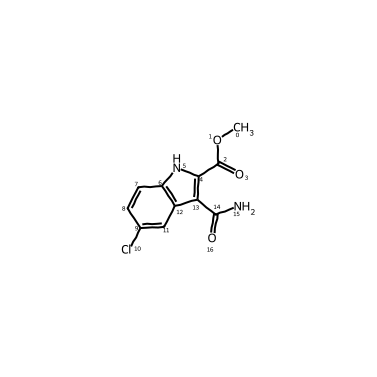 COC(=O)c1[nH]c2ccc(Cl)cc2c1C(N)=O